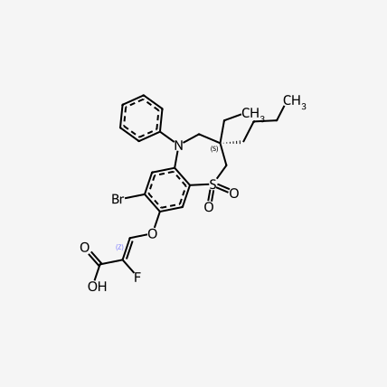 CCCC[C@@]1(CC)CN(c2ccccc2)c2cc(Br)c(O/C=C(\F)C(=O)O)cc2S(=O)(=O)C1